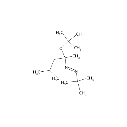 CC(C)CC(C)(N=NC(C)(C)C)OC(C)(C)C